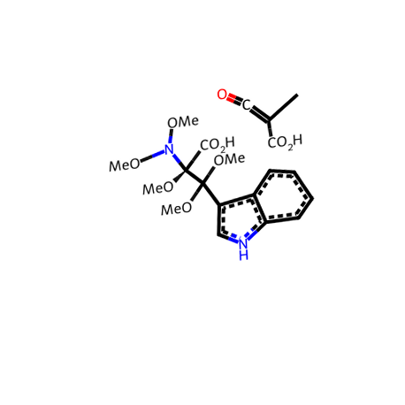 CC(=C=O)C(=O)O.CON(OC)[C@](OC)(C(=O)O)C(OC)(OC)c1c[nH]c2ccccc12